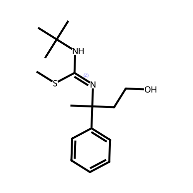 CS/C(=N\C(C)(CCO)c1ccccc1)NC(C)(C)C